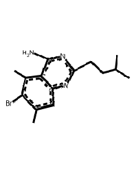 Cc1cc2nc(CCC(C)C)nc(N)c2c(C)c1Br